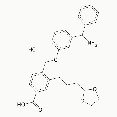 Cl.NC(c1ccccc1)c1cccc(OCc2ccc(C(=O)O)cc2CCCC2OCCO2)c1